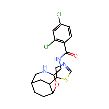 O=C(NCC1NCC2CCC(O1)C(C1CN=CS1)C2)c1ccc(Cl)cc1Cl